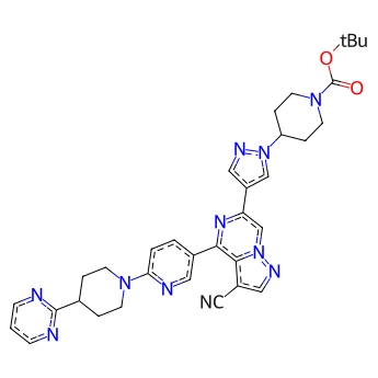 CC(C)(C)OC(=O)N1CCC(n2cc(-c3cn4ncc(C#N)c4c(-c4ccc(N5CCC(c6ncccn6)CC5)nc4)n3)cn2)CC1